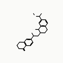 CSC(C)c1ccc2c(c1)C(O)C(CC(C)c1ccc3c(c1)CCCC3=O)CC2